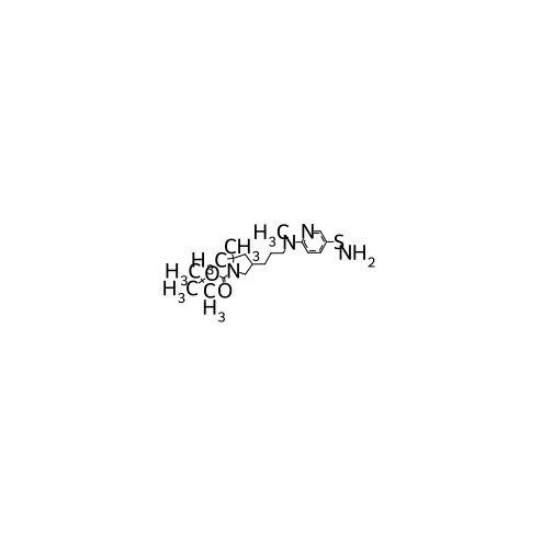 CN(CCCC1CN(C(=O)OC(C)(C)C)C(C)(C)C1)c1ccc(SN)cn1